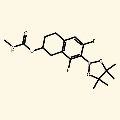 CNC(=O)OC1CCc2cc(F)c(B3OC(C)(C)C(C)(C)O3)c(F)c2C1